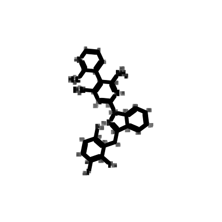 Cc1ncccc1-c1c(N)nc(-n2nc(Cc3c(F)ccc(F)c3F)c3ccccc32)nc1N